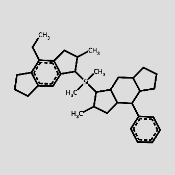 CCc1c2c(cc3c1CC(C)C3[Si](C)(C)C1C(C)CC3C1CC1CCCC1C3c1ccccc1)CCC2